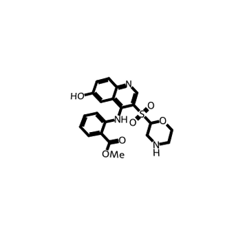 COC(=O)c1ccccc1Nc1c(S(=O)(=O)C2CNCCO2)cnc2ccc(O)cc12